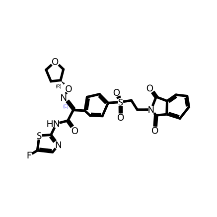 O=C(Nc1ncc(F)s1)/C(=N/O[C@@H]1CCOC1)c1ccc(S(=O)(=O)CCN2C(=O)c3ccccc3C2=O)cc1